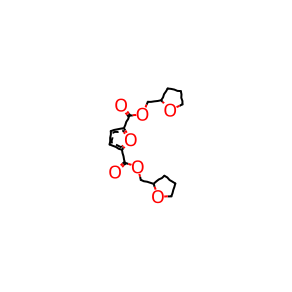 O=C(OCC1CCCO1)c1ccc(C(=O)OCC2CCCO2)o1